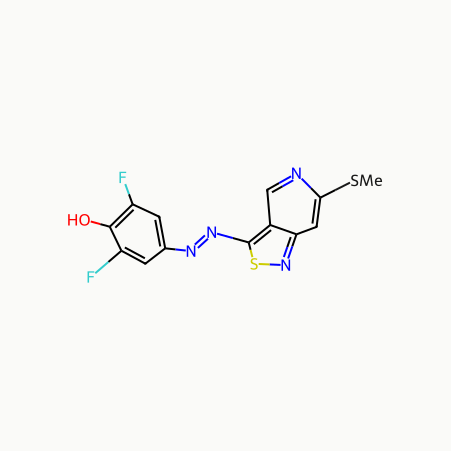 CSc1cc2nsc(/N=N/c3cc(F)c(O)c(F)c3)c2cn1